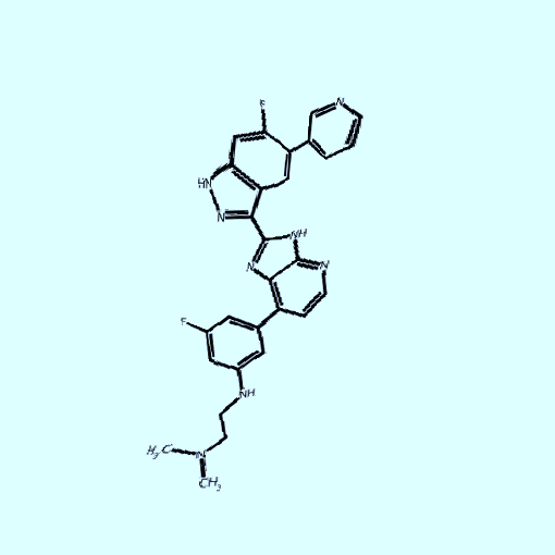 CN(C)CCNc1cc(F)cc(-c2ccnc3[nH]c(-c4n[nH]c5cc(F)c(-c6cccnc6)cc45)nc23)c1